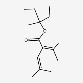 CCC(C)(CC)OC(=O)C(C=C(C)C)=C(C)C